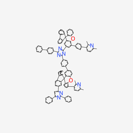 Cc1ccc(-c2ccc(-c3cc(-c4nc(-c5ccc(-c6ccccc6)cc5)nc(-c5ccc(-c6ccc7c(c6)C6(c8ccccc8-c8ccc(-c9cc(-c%10ccccc%10)nc(-c%10ccccc%10)n9)cc86)c6cccc(-c8ccc(C)nc8C)c6O7)cc5)n4)cc4c3Oc3ccccc3C43c4ccccc4-c4ccccc43)cc2)c(C)n1